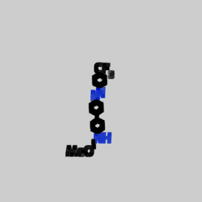 COCCNc1ccc(-c2ccc(N=Nc3ccc(C(F)(F)F)cc3)cc2)cc1